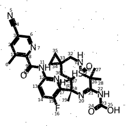 Cc1cc(C#N)cnc1C(=O)Nc1ccc(F)c([C@@]2(C)N=C(NC(=O)O)C(C)(C)[SH]3(=O)NCC4(CC4)C[C@@H]23)n1